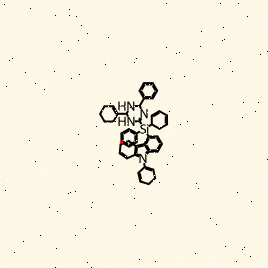 C1=CCC([Si](C2=NC(c3ccccc3)NC(C3=CCCCC3)N2)(c2ccccc2)c2cccc3c2c2c(n3C3=CCCC=C3)C=CCC2)C=C1